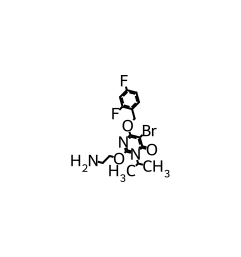 CC(C)n1c(OCCN)nc(OCc2ccc(F)cc2F)c(Br)c1=O